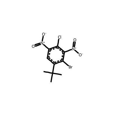 CC(C)(C)c1cc([N+](=O)[O-])c(Cl)c([N+](=O)[O-])c1Br